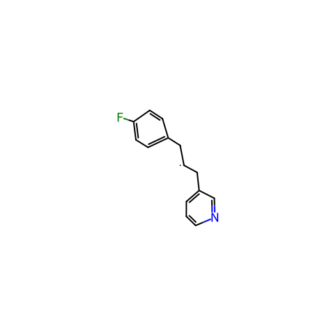 Fc1ccc(C[CH]Cc2cccnc2)cc1